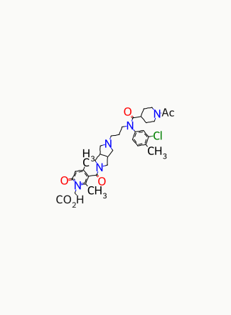 CC(=O)N1CCC(C(=O)N(CCCN2CC3CN(C(=O)c4c(C)cc(=O)n(CC(=O)O)c4C)CC3C2)c2ccc(C)c(Cl)c2)CC1